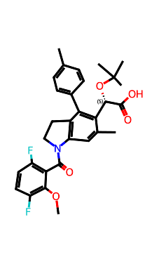 COc1c(F)ccc(F)c1C(=O)N1CCc2c1cc(C)c([C@H](OC(C)(C)C)C(=O)O)c2-c1ccc(C)cc1